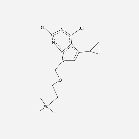 C[Si](C)(C)CCOCn1cc(C2CC2)c2c(Cl)nc(Cl)nc21